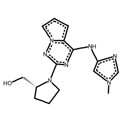 Cn1cnc(Nc2nc(N3CCC[C@@H]3CO)nn3cccc23)c1